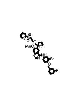 COc1cc2ncnc(Nc3ccc(OCc4cccc(F)c4)c(Br)c3)c2cc1C1(COCCS(=O)(=O)c2ccccn2)CC=CO1